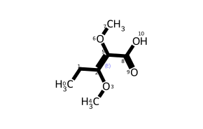 CC/C(OC)=C(\OC)C(=O)O